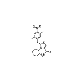 Cc1cc([N+](=O)[O-])c(C)cc1CC1SC=C(C(N)=O)N1C1CCCCC1